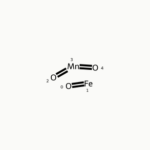 [O]=[Fe].[O]=[Mn]=[O]